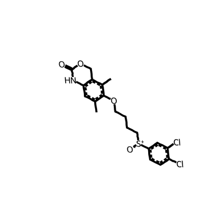 Cc1cc2c(c(C)c1OCCCC[S+]([O-])c1ccc(Cl)c(Cl)c1)COC(=O)N2